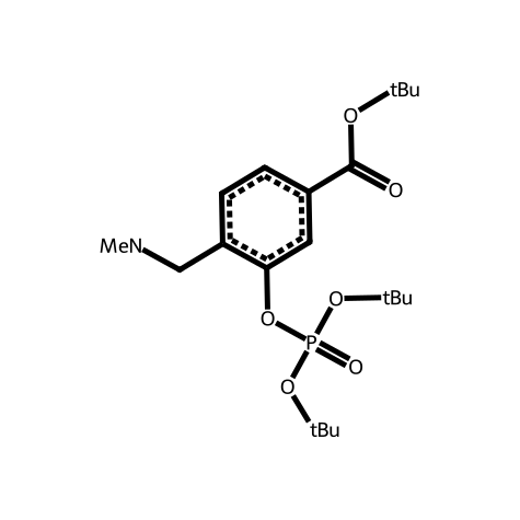 CNCc1ccc(C(=O)OC(C)(C)C)cc1OP(=O)(OC(C)(C)C)OC(C)(C)C